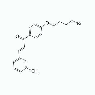 Cc1cccc(C=CC(=O)c2ccc(OCCCCBr)cc2)c1